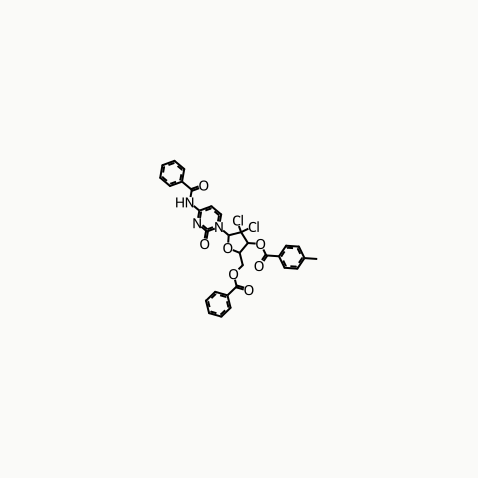 Cc1ccc(C(=O)OC2C(COC(=O)c3ccccc3)OC(n3ccc(NC(=O)c4ccccc4)nc3=O)C2(Cl)Cl)cc1